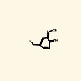 N=C1C=CC(CBr)=C/C1=N/O